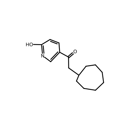 O=C(CC1CCCCCCC1)c1ccc(O)nc1